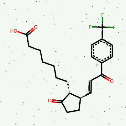 O=C(O)CCCCCC[C@H]1C(=O)CC[C@@H]1C=CC(=O)c1ccc(C(F)(F)F)cc1